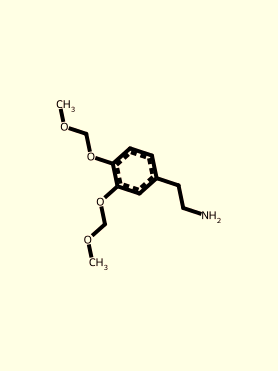 COCOc1ccc(CCN)cc1OCOC